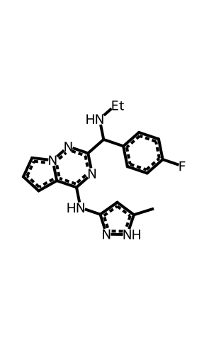 CCNC(c1ccc(F)cc1)c1nc(Nc2cc(C)[nH]n2)c2cccn2n1